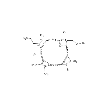 CCCCOCc1c(C)c2cc3nc(c(C)c4[nH]c(cc5nc(cc1[nH]2)C(C)=C5CC)c(C)c4C(=O)O)[C@@H](CCC(=O)O)[C@@H]3C